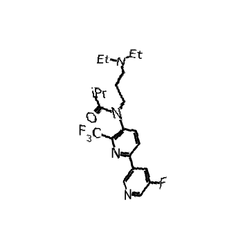 CCN(CC)CCCN(C(=O)C(C)C)c1ccc(-c2cncc(F)c2)nc1C(F)(F)F